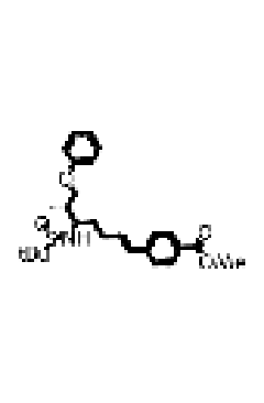 COC(=O)c1ccc(/C=C/CC[C@@H](N[S+]([O-])C(C)(C)C)[C@H](C)COc2ccccc2)cc1